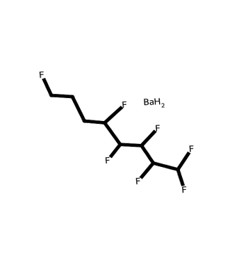 FCCCC(F)C(F)C(F)C(F)C(F)F.[BaH2]